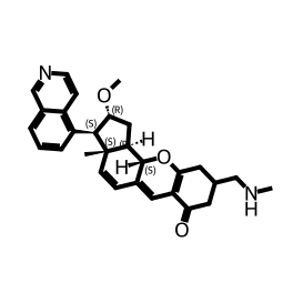 CNCC1CC(=O)C2=C(C1)O[C@@H]1C(=C2)C=C[C@@]2(C)[C@H]1C[C@@H](OC)[C@@H]2c1cccc2cnccc12